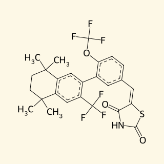 CC1(C)CCC(C)(C)c2cc(C(F)(F)F)c(-c3cc(C=C4SC(=O)NC4=O)ccc3OC(F)(F)F)cc21